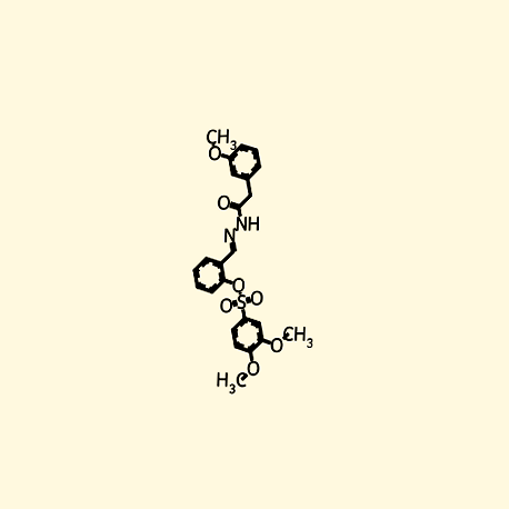 COc1cccc(CC(=O)NN=Cc2ccccc2OS(=O)(=O)c2ccc(OC)c(OC)c2)c1